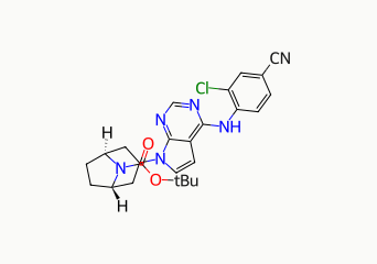 CC(C)(C)OC(=O)N1[C@H]2CC[C@H]1CC(n1ccc3c(Nc4ccc(C#N)cc4Cl)ncnc31)C2